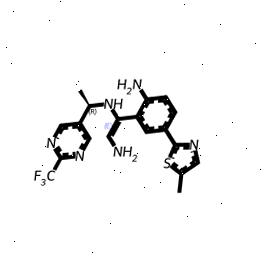 Cc1cnc(-c2ccc(N)c(/C(=C\N)N[C@H](C)c3cnc(C(F)(F)F)nc3)c2)s1